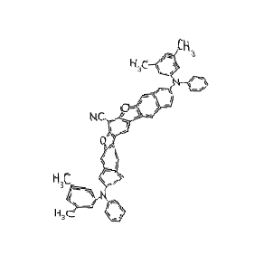 Cc1cc(C)cc(N(c2ccccc2)c2ccc3cc4c(cc3c2)oc2c(C#N)c3oc5cc6cc(N(c7ccccc7)c7cc(C)cc(C)c7)ccc6cc5c3cc24)c1